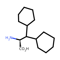 N[C@H](C(=O)O)C(C1CCCCC1)C1CCCCC1